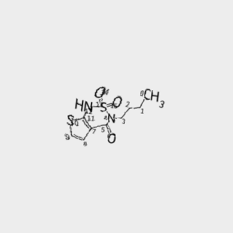 CCCCN1C(=O)c2ccsc2NS1(=O)=O